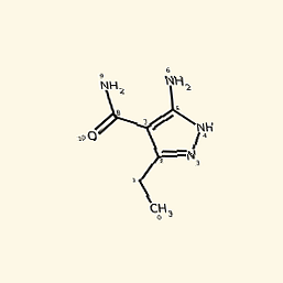 CCc1n[nH]c(N)c1C(N)=O